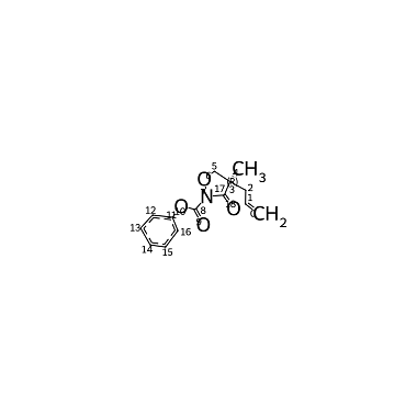 C=CC[C@]1(C)CON(C(=O)Oc2ccccc2)C1=O